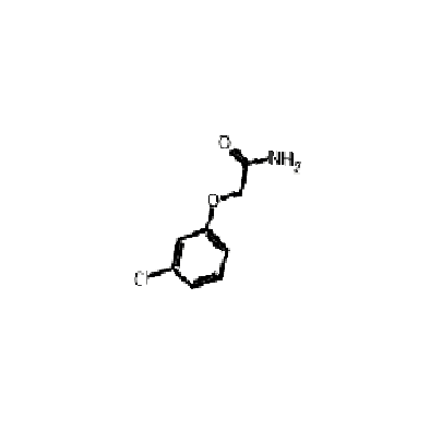 NC(=O)COc1cccc(Cl)c1